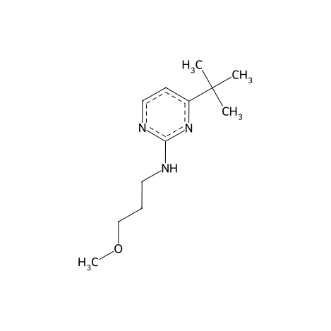 COCCCNc1nccc(C(C)(C)C)n1